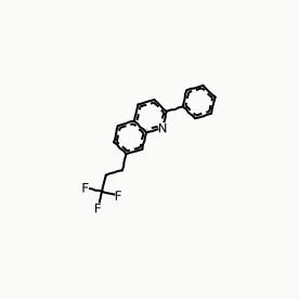 FC(F)(F)CCc1ccc2ccc(-c3ccccc3)nc2c1